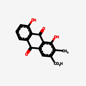 Cc1c(C(=O)O)cc2c(c1O)C(=O)c1c(O)cccc1C2=O